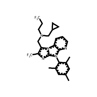 Cc1cc(C)c(-n2c3ncccc3n3c(CN(CCC(F)(F)F)CC4CC4)c(C(F)(F)F)nc23)c(C)c1